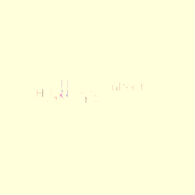 C=CC(=O)NCCCc1ccc(-c2ccc(C3CCC(CCCCC)CC3)cc2)c(C)c1